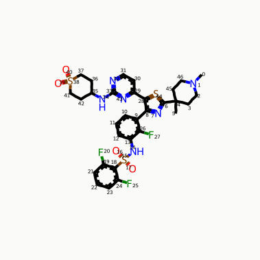 CN1CCC(C)(c2nc(-c3cccc(NS(=O)(=O)c4c(F)cccc4F)c3F)c(-c3ccnc(NC4CCS(=O)(=O)CC4)n3)s2)CC1